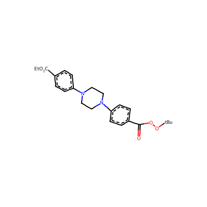 CCOC(=O)c1ccc(N2CCN(c3ccc(C(=O)OOC(C)(C)C)cc3)CC2)cc1